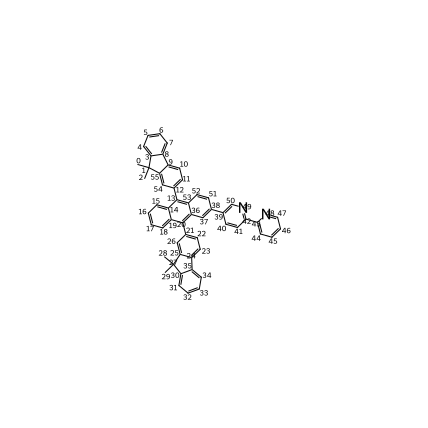 CC1(C)c2ccccc2-c2ccc(-c3c4ccccc4c(-c4ccc5c(c4)C(C)(C)c4ccccc4-5)c4cc(-c5ccc(-c6ccccn6)nc5)ccc34)cc21